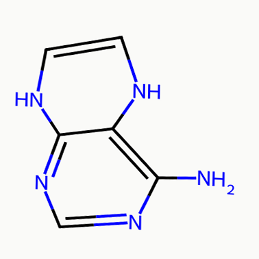 Nc1ncnc2c1NC=CN2